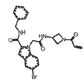 C=CC(=O)N1CC(NC(=O)Cn2c(C(=O)NCc3ccccc3)cc3cc(Br)ccc32)C1